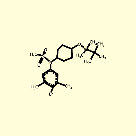 Cc1cc(N(C2CCC(O[Si](C)(C)C(C)(C)C)CC2)S(C)(=O)=O)cc(C)c1Br